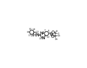 CC1(C)OB(c2ccc3nc(NCc4ccccc4)cnc3c2)OC1(C)C